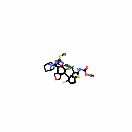 CCSc1nc(N2C3CCC2CN(C(=O)OC(C)(C)C)C3)c2c3c(c(-c4c(F)ccc5sc(NC(=O)OC(C)(C)C)c(C#N)c45)c(Cl)c2n1)COC3